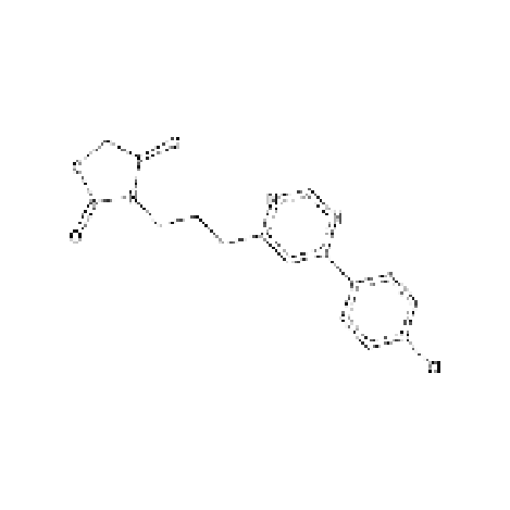 O=C1COC(=O)N1CCCc1cc(-c2ccc(Cl)cc2)ncn1